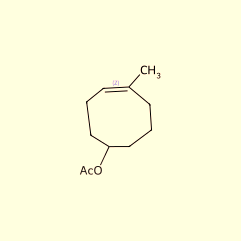 CC(=O)OC1CC/C=C(/C)CCC1